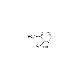 Br.O=C(O)c1ccccc1[N+](=O)[O-]